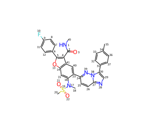 CNC(=O)c1c(-c2ccc(F)cc2)oc2cc(N(C)S(C)(=O)=O)c(-c3ccc4ncc(-c5ccc(C)cc5)n4n3)cc12